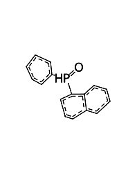 O=[PH](c1ccccc1)c1cccc2ccccc12